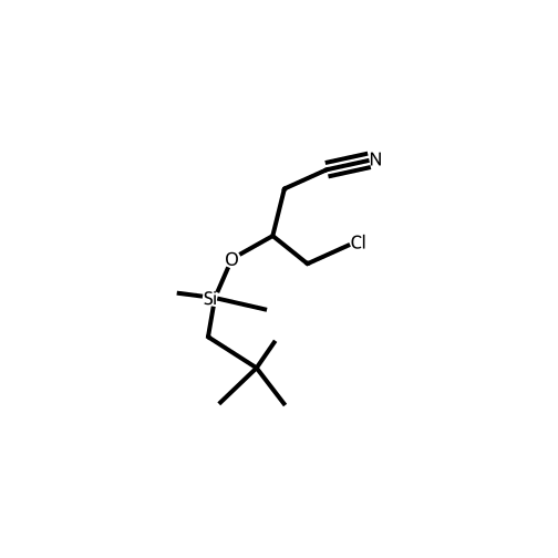 CC(C)(C)C[Si](C)(C)OC(CCl)CC#N